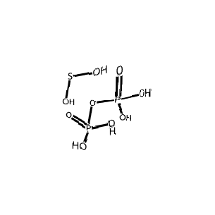 O=P(O)(O)OP(=O)(O)O.OSO